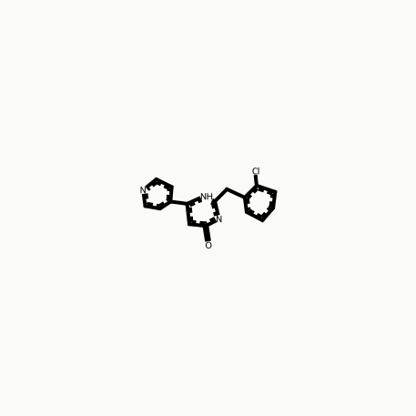 O=c1cc(-c2ccncc2)[nH]c(Cc2ccccc2Cl)n1